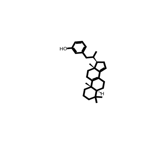 CC(Cc1cccc(O)c1)[C@H]1CC=C2C3=C(CC[C@@]21C)[C@@]1(C)CCCC(C)(C)[C@@H]1CC3